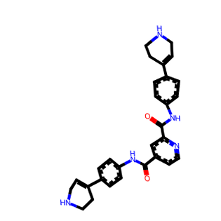 O=C(Nc1ccc(C2=CCNCC2)cc1)c1ccnc(C(=O)Nc2ccc(C3=CCNCC3)cc2)c1